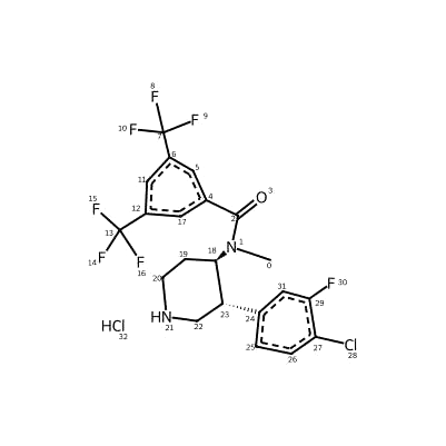 CN(C(=O)c1cc(C(F)(F)F)cc(C(F)(F)F)c1)[C@@H]1CCNC[C@H]1c1ccc(Cl)c(F)c1.Cl